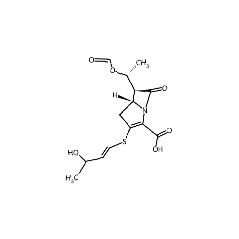 CC(O)/C=C/SC1=C(C(=O)O)N2C(=O)[C@H]([C@@H](C)OC=O)[C@H]2C1